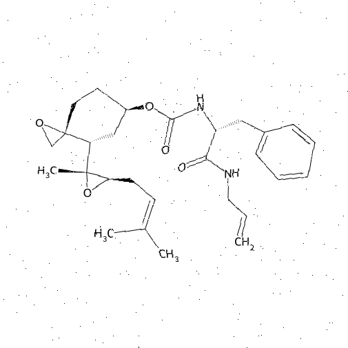 C=CCNC(=O)[C@@H](Cc1ccccc1)NC(=O)O[C@@H]1CC[C@]2(CO2)[C@@H]([C@@]2(C)O[C@@H]2CC=C(C)C)C1